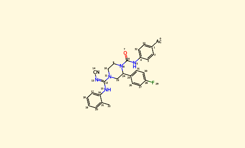 CC(=O)c1ccc(NC(=O)N2CCN(/C(=N\C#N)Nc3ccccc3C)CC2c2ccc(F)cc2)cc1